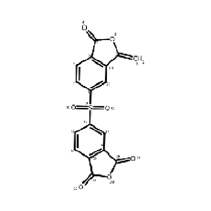 C=C1OC(=O)c2ccc(S(=O)(=O)c3ccc4c(c3)C(=O)OC4=O)cc21